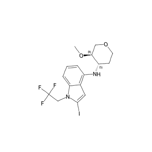 CO[C@H]1COCC[C@@H]1Nc1cccc2c1cc(I)n2CC(F)(F)F